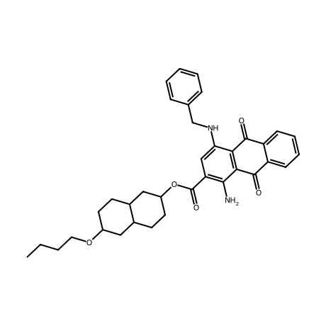 CCCCOC1CCC2CC(OC(=O)c3cc(NCc4ccccc4)c4c(c3N)C(=O)c3ccccc3C4=O)CCC2C1